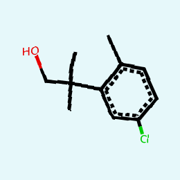 Cc1ccc(Cl)cc1C(C)(C)CO